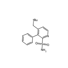 CC(C)(C)Cc1ccnc(S(N)(=O)=O)c1-c1ccccc1